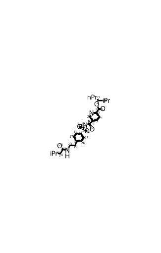 CCCC(OC(=O)c1ccc(C(=O)NS(=O)(=O)c2ccc(CCNC(=O)CC(C)C)cc2)cn1)C(C)C